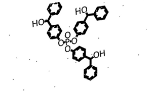 O=P(Oc1ccc(C(O)c2ccccc2)cc1)(Oc1ccc(C(O)c2ccccc2)cc1)Oc1ccc(C(O)c2ccccc2)cc1